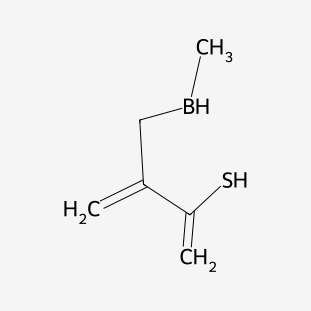 C=C(S)C(=C)CBC